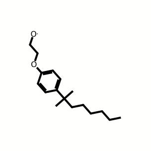 CCCCCCC(C)(C)c1ccc(OCC[O])cc1